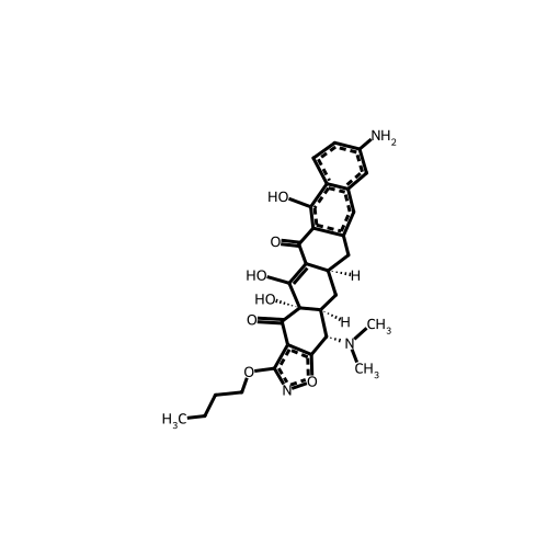 CCCCOc1noc2c1C(=O)[C@@]1(O)C(O)=C3C(=O)c4c(cc5cc(N)ccc5c4O)C[C@H]3C[C@H]1[C@@H]2N(C)C